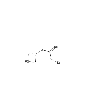 CCSC(=N)OC1CNC1